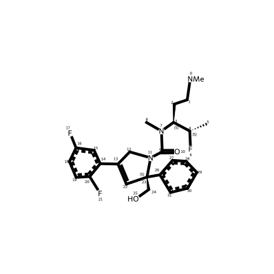 CNCC[C@@H]([C@H](C)F)N(C)C(=O)N1CC(c2cc(F)ccc2F)=C[C@@]1(CO)c1ccccc1